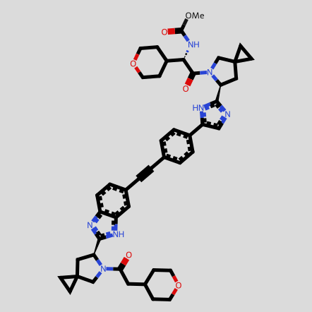 COC(=O)N[C@H](C(=O)N1CC2(CC2)C[C@H]1c1ncc(-c2ccc(C#Cc3ccc4nc([C@@H]5CC6(CC6)CN5C(=O)CC5CCOCC5)[nH]c4c3)cc2)[nH]1)C1CCOCC1